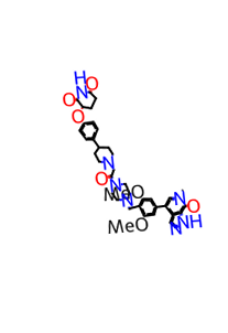 COc1cc(-c2cn(C)c(=O)c3[nH]ncc23)cc(OC)c1CN1CCN(C(=O)CN2CCC(c3ccc(OC4CCC(=O)NC4=O)cc3)CC2)CC1